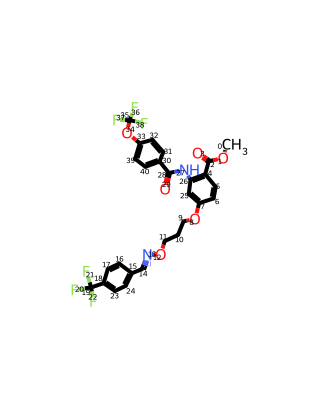 COC(=O)c1ccc(OCCCO/N=C/c2ccc(C(F)(F)F)cc2)cc1NC(=O)c1ccc(OC(F)(F)F)cc1